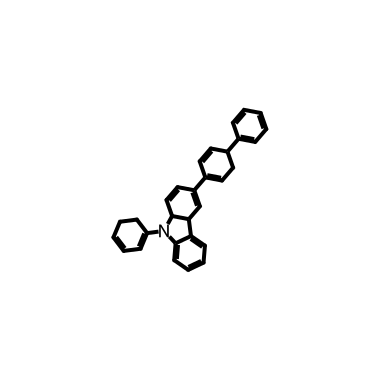 C1=CCCC(N2c3ccccc3C3C=C(C4=CCC(c5ccccc5)C=C4)C=CC32)=C1